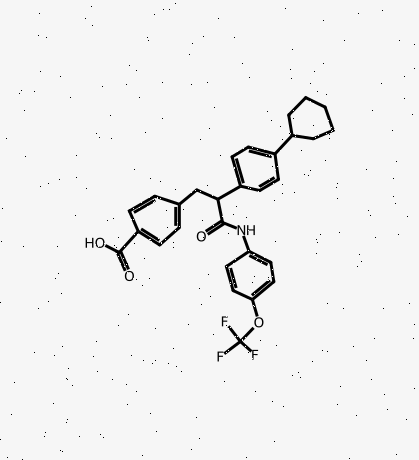 O=C(O)c1ccc(CC(C(=O)Nc2ccc(OC(F)(F)F)cc2)c2ccc(C3CCCCC3)cc2)cc1